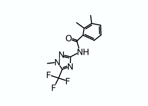 Cc1cccc(C(=O)Nc2nc(C(F)(F)F)n(C)n2)c1C